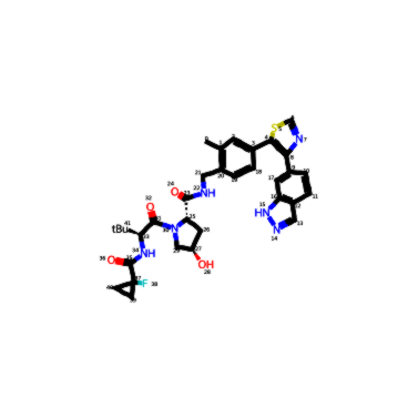 Cc1cc(-c2scnc2-c2ccc3cn[nH]c3c2)ccc1CNC(=O)[C@@H]1C[C@@H](O)CN1C(=O)[C@@H](NC(=O)C1(F)CC1)C(C)(C)C